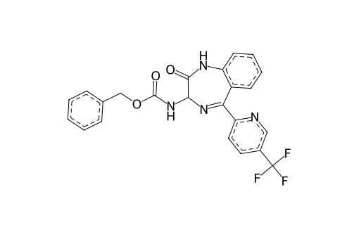 O=C(NC1N=C(c2ccc(C(F)(F)F)cn2)c2ccccc2NC1=O)OCc1ccccc1